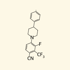 N#Cc1ccc(N2CCC(c3cc[c]cc3)CC2)c(F)c1C(F)(F)F